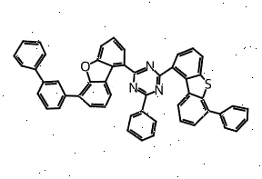 c1ccc(-c2cccc(-c3cccc4c3oc3cccc(-c5nc(-c6ccccc6)nc(-c6cccc7sc8c(-c9ccccc9)cccc8c67)n5)c34)c2)cc1